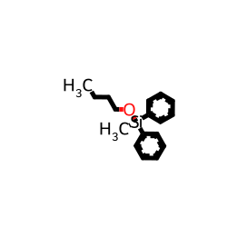 CCCCO[Si](C)(c1ccccc1)c1ccccc1